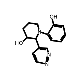 Oc1ccccc1N1CCCC(O)C1c1ccnnc1